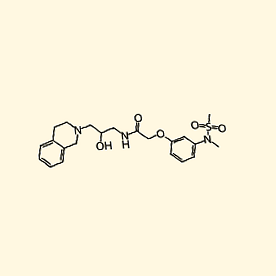 CN(c1cccc(OCC(=O)NCC(O)CN2CCc3ccccc3C2)c1)S(C)(=O)=O